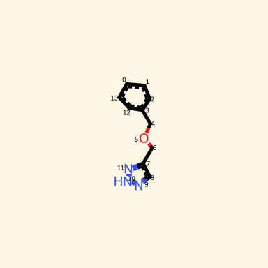 c1ccc(COCc2cn[nH]n2)cc1